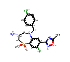 CCc1nc(-c2cc3c(cc2F)S(=O)(=O)C[C@H](N)CN3Cc2ccc(Cl)cc2)no1